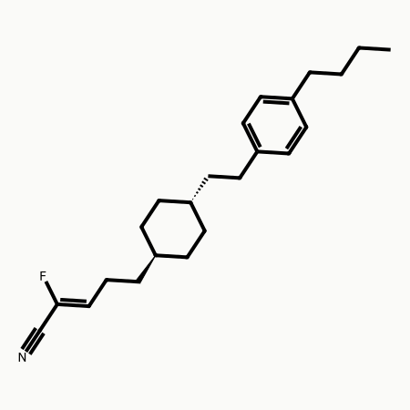 CCCCc1ccc(CC[C@H]2CC[C@H](CC/C=C(\F)C#N)CC2)cc1